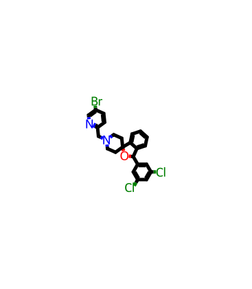 Clc1cc(Cl)cc(C2OC3(CCN(Cc4ccc(Br)cn4)CC3)c3ccccc32)c1